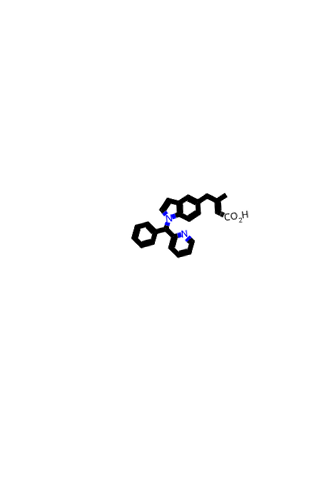 CC(=CC(=O)O)Cc1ccc2c(ccn2C(c2ccccc2)c2ccccn2)c1